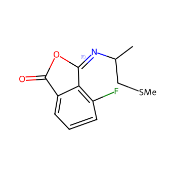 CSCC(C)/N=C1/OC(=O)c2cccc(F)c21